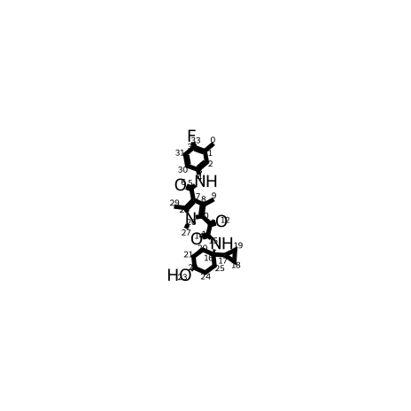 Cc1cc(NC(=O)c2c(C)c(C(=O)C(=O)N[C@]3(C4CC4)CC[C@H](O)CC3)n(C)c2C)ccc1F